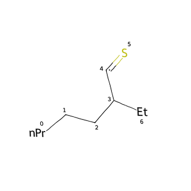 CCCCCC([C]=S)CC